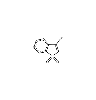 O=S1(=O)C=C(Br)c2ccncc21